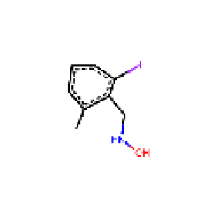 Cc1cccc(I)c1CNO